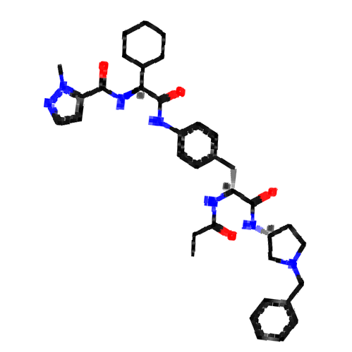 CCC(=O)N[C@H](Cc1ccc(NC(=O)[C@@H](NC(=O)c2ccnn2C)C2CCCCC2)cc1)C(=O)N[C@@H]1CCN(Cc2ccccc2)C1